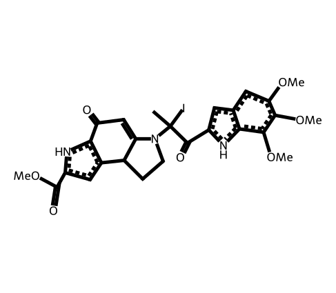 COC(=O)c1cc2c([nH]1)C(=O)C=C1C2CCN1C(C)(I)C(=O)c1cc2cc(OC)c(OC)c(OC)c2[nH]1